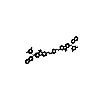 Cc1cc(C)cc(N(c2ccc3c(c2)C(C)(C)c2cc(/C=C/c4ccc(/C=C/c5ccc6c(c5)C(C)(C)c5cc(N(c7cc(C)cc(C)c7)c7ccc8ccccc8c7)ccc5-6)cc4)ccc2-3)c2ccc3ccccc3c2)c1